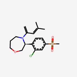 C=C(C=C(C)C)N1CCCOC[C@@H]1c1ccc(S(C)(=O)=O)cc1Cl